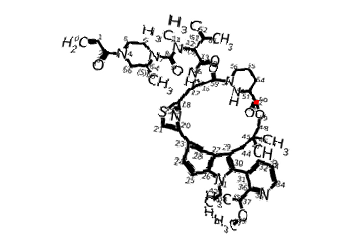 C=CC(=O)N1CCN(C(=O)N(C)[C@H](C(=O)N[C@H]2Cc3nc(cs3)-c3ccc4c(c3)c(c(-c3cccnc3[C@H](C)OC)n4CC)CC(C)(C)COCC3(C=O)CCCN(N3)C2=O)C(C)C)[C@@H](C)C1